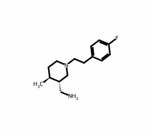 C[C@H]1CCN(CCc2ccc(F)cc2)C[C@@H]1CN